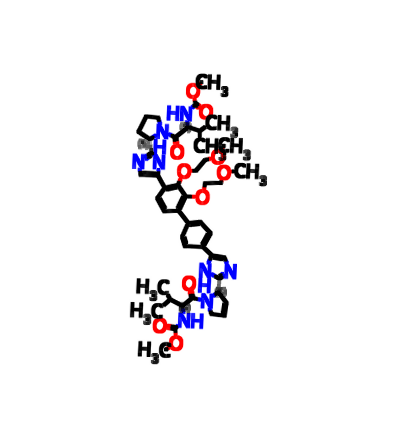 COCCOc1c(-c2ccc(-c3cnc([C@@H]4C=CCN4C(=O)[C@@H](NC(=O)OC)C(C)C)[nH]3)cc2)ccc(-c2cnc([C@@H]3CCCN3C(=O)[C@@H](NC(=O)OC)C(C)C)[nH]2)c1OCCOC